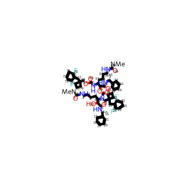 CNC(=O)NCCCCC(C(O)C(=O)N[C@H](C)c1ccccc1)N(CC1(Cc2c(F)cccc2F)CCC1)C(=O)OC(C(=O)N[C@H](C)c1ccccc1)[C@H](CCCCNC(=O)NC)NC(=O)OCC1(Cc2c(F)cccc2F)CCC1